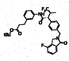 C[C@@H]([C@@H](C(=O)Nc1cccc(CCC(=O)OC(C)(C)C)c1)c1ccc(CN2Cc3c(F)cccc3C2=O)cc1)C(F)(F)F